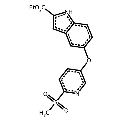 CCOC(=O)c1cc2cc(Oc3ccc(S(C)(=O)=O)nc3)ccc2[nH]1